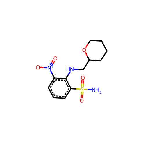 NS(=O)(=O)c1cccc([N+](=O)[O-])c1NCC1CCCCO1